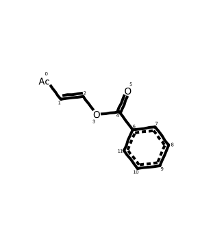 CC(=O)C=COC(=O)c1ccccc1